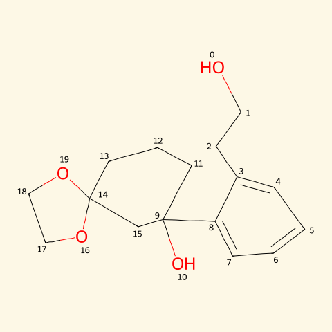 OCCc1ccccc1C1(O)CCCC2(C1)OCCO2